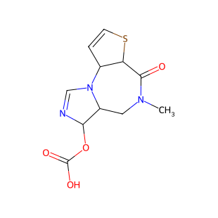 CN1CC2C(OC(=O)O)N=CN2C2C=CSC2C1=O